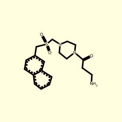 NCCC(=O)N1CCN(CS(=O)(=O)Cc2ccc3ccccc3c2)CC1